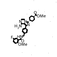 COc1ccc(F)cc1C(=O)NCc1ccc(-c2nc([C@H]3CC[C@H](C(=O)OC)CC3)n3ccnc(N)c23)cc1